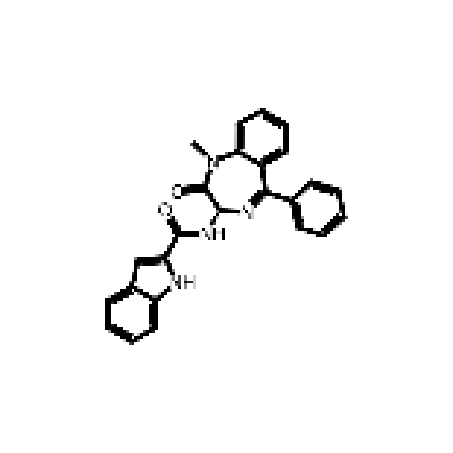 CN1C(=O)[C@H](NC(=O)c2cc3ccccc3[nH]2)N=C(c2ccccc2)c2ccccc21